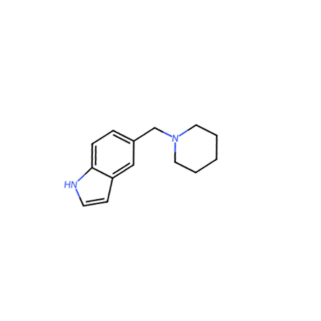 c1cc2cc(CN3CCCCC3)ccc2[nH]1